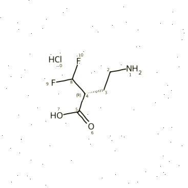 Cl.NCC[C@H](C(=O)O)C(F)F